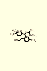 C=C(/N=C(/C(=C)/C=C\C(C)(C)C)c1cc(C)ccc1CCO)OC